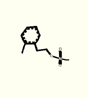 Cc1ccccc1CCOS(C)(=O)=O